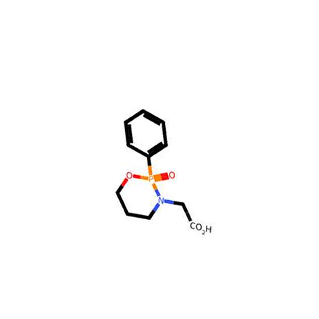 O=C(O)CN1CCCOP1(=O)c1ccccc1